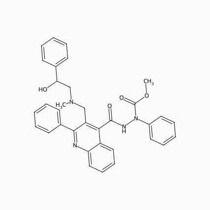 COC(=O)N(NC(=O)c1c(CN(C)CC(O)c2ccccc2)c(-c2ccccc2)nc2ccccc12)c1ccccc1